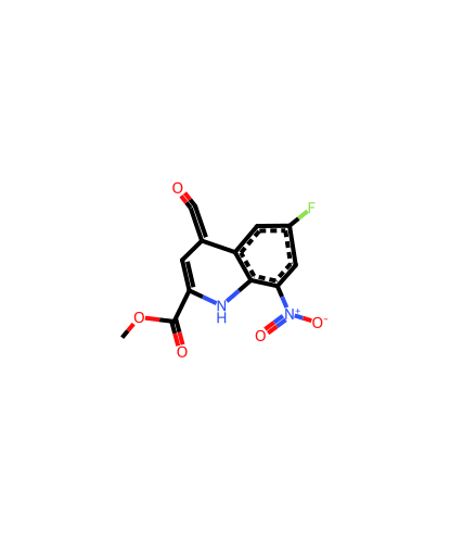 COC(=O)C1=CC(=C=O)c2cc(F)cc([N+](=O)[O-])c2N1